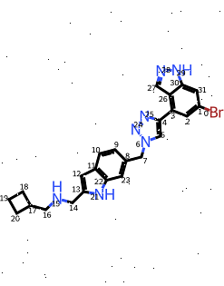 Brc1cc(-c2cn(Cc3ccc4cc(CNCC5CCC5)[nH]c4c3)nn2)c2cn[nH]c2c1